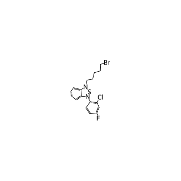 Fc1ccc(N2SN(CCCCCBr)c3ccccc32)c(Cl)c1